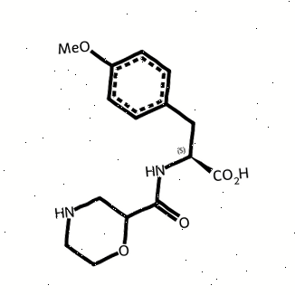 COc1ccc(C[C@H](NC(=O)C2CNCCO2)C(=O)O)cc1